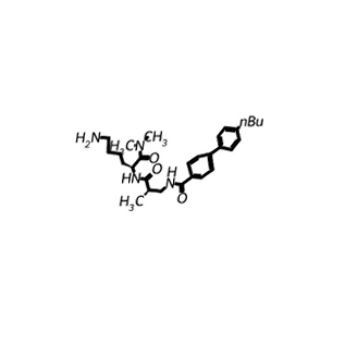 CCCCc1ccc(-c2ccc(C(=O)NC[C@@H](C)C(=O)N[C@@H](CCCCN)C(=O)N(C)C)cc2)cc1